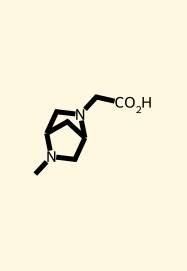 CN1CC2CC1CN2CC(=O)O